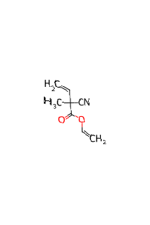 C=COC(=O)C(C)(C#N)C=C